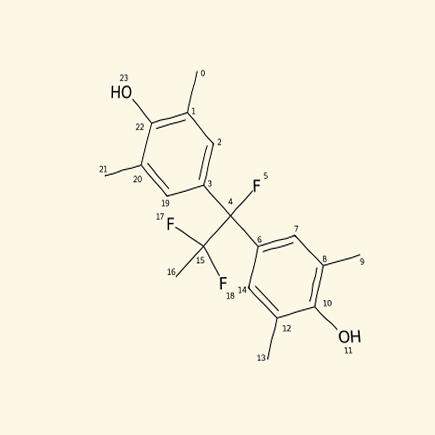 Cc1cc(C(F)(c2cc(C)c(O)c(C)c2)C(C)(F)F)cc(C)c1O